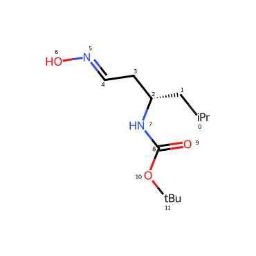 CC(C)C[C@@H](C/C=N/O)NC(=O)OC(C)(C)C